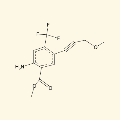 COCC#Cc1cc(C(=O)OC)c(N)cc1C(F)(F)F